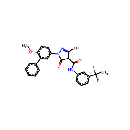 COc1ccc(N2N=C(C)C(C(=O)Nc3cccc(C(C)(F)F)c3)C2=O)cc1-c1ccccc1